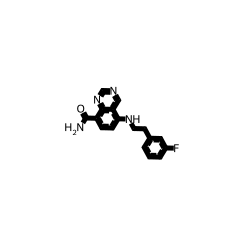 NC(=O)c1ccc(NCCc2cccc(F)c2)c2cncnc12